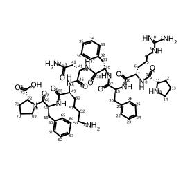 N=C(N)NCCC[C@H](NC(=O)[C@@H]1CCCN1)C(=O)N[C@@H](Cc1ccccc1)C(=O)N[C@@H](Cc1ccccc1)C(=O)N[C@@H](CC(N)=O)C(=O)N[C@@H](CCCCN)C(=O)N[C@@H](Cc1ccccc1)C(=O)N1CCC[C@@H]1C(=O)O